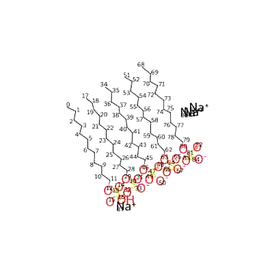 CCCCCCCCCCCCOS(=O)(=O)O.CCCCCCCCCCCCOS(=O)(=O)[O-].CCCCCCCCCCCCOS(=O)(=O)[O-].CCCCCCCCCCCCOS(=O)(=O)[O-].CCCCCCCCCCCCOS(=O)(=O)[O-].[Na+].[Na+].[Na+].[Na+]